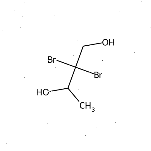 CC(O)C(Br)(Br)CO